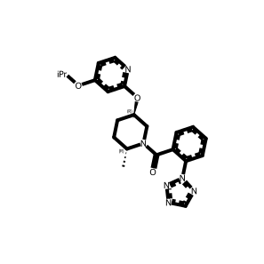 CC(C)Oc1ccnc(O[C@@H]2CC[C@@H](C)N(C(=O)c3ccccc3-n3ncnn3)C2)c1